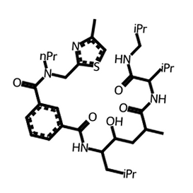 CCCN(Cc1nc(C)cs1)C(=O)c1cccc(C(=O)NC(CC(C)C)C(O)CC(C)C(=O)NC(C(=O)NCC(C)C)C(C)C)c1